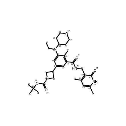 CCN(c1cc(C2CN(C(=O)OC(C)(C)C)C2)cc(C(=O)NCc2c(C)cc(C)[nH]c2=O)c1C)C1CCOCC1